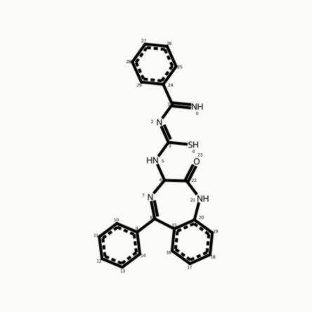 N=C(/N=C(\S)NC1N=C(c2ccccc2)c2ccccc2NC1=O)c1ccccc1